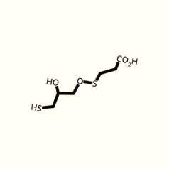 O=C(O)CCSOCC(O)CS